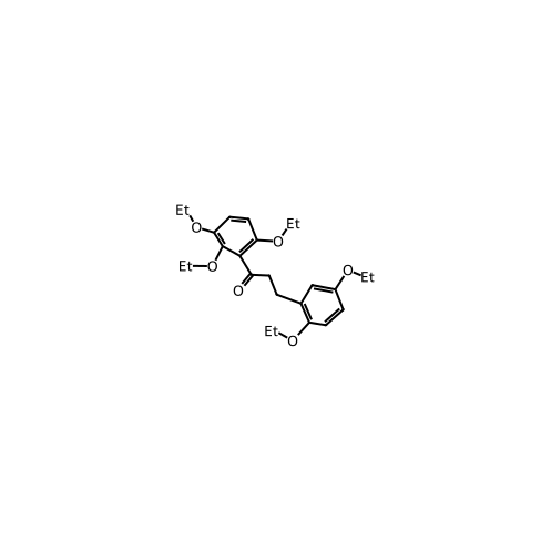 CCOc1ccc(OCC)c(CCC(=O)c2c(OCC)ccc(OCC)c2OCC)c1